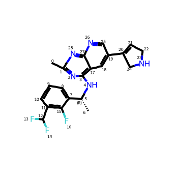 Cc1nc(N[C@H](C)c2cccc(C(F)F)c2F)c2cc(C3=CCNC3)cnc2n1